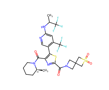 CC(Nc1cc(C(F)(F)F)c(-c2sc(C(=O)N3CC4(C3)CS(=O)(=O)C4)nc2C(=O)N2CCCC[C@@H]2C)cn1)C(F)(F)F